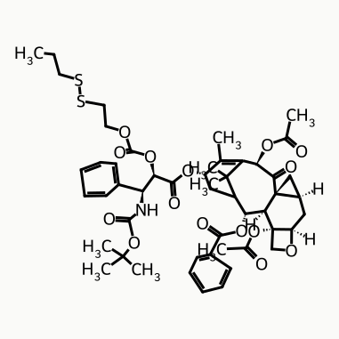 CCCSSCCOC(=O)O[C@@H](C(=O)O[C@H]1CC2[C@@H](OC(=O)c3ccccc3)[C@@H]3[C@]4(OC(C)=O)CO[C@@H]4C[C@@H]4C[C@@]43C(=O)[C@H](OC(C)=O)C(=C1C)C2(C)C)[C@@H](NC(=O)OC(C)(C)C)c1ccccc1